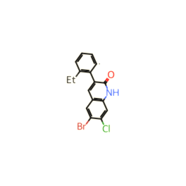 CCc1ccc[c]c1-c1cc2cc(Br)c(Cl)cc2[nH]c1=O